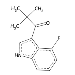 CC(C)(C)C(=O)c1c[nH]c2cccc(F)c12